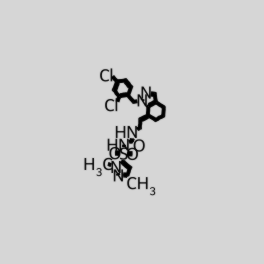 Cc1cc(S(=O)(=O)NC(=O)NC/C=C2\CCCc3cnn(Cc4ccc(Cl)cc4Cl)c32)n(C)n1